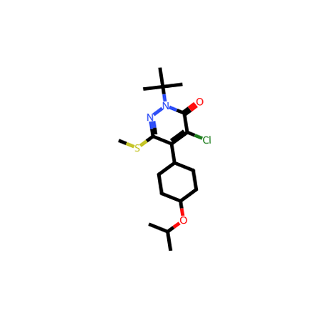 CSc1nn(C(C)(C)C)c(=O)c(Cl)c1C1CCC(OC(C)C)CC1